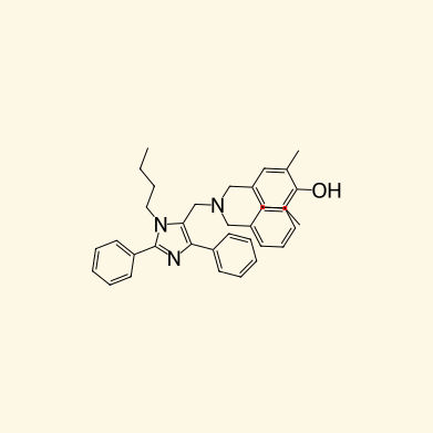 CCCCn1c(-c2ccccc2)nc(-c2ccccc2)c1CN(Cc1ccccc1)Cc1cc(C)c(O)c(C)c1